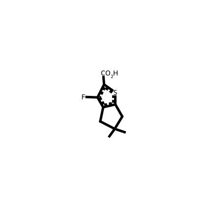 CC1(C)Cc2sc(C(=O)O)c(F)c2C1